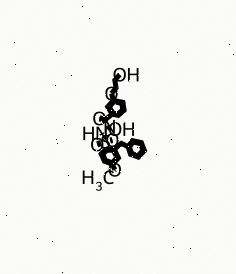 COc1ccc(S(=O)(=O)NN(O)C(=O)c2cccc(OCCO)c2)c(Cc2ccccc2)c1